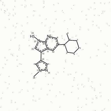 CC1CCCCC1c1cnc2c(c1)c(-c1cnn(C)c1)cn2S